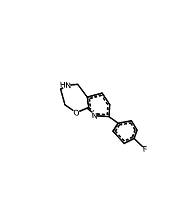 Fc1ccc(-c2ccc3c(n2)OCCNC3)cc1